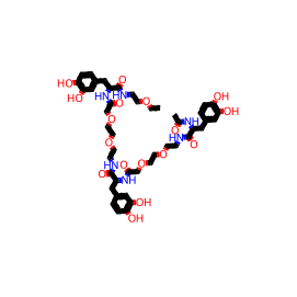 CCOCCNC(=O)C(Cc1ccc(O)c(O)c1)NC(=O)COCCOCCNC(=O)C(Cc1ccc(O)c(O)c1)NC(=O)COCCOCCNC(=O)C(Cc1ccc(O)c(O)c1)NC(C)=O